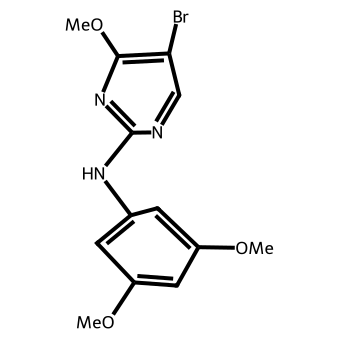 COc1cc(Nc2ncc(Br)c(OC)n2)cc(OC)c1